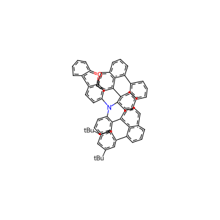 CC(C)(C)c1cc(-c2cccc3cccc(-c4ccccc4N(c4ccc5c(c4)oc4ccccc45)c4ccccc4-c4cccc5cccc(-c6ccccc6)c45)c23)cc(C(C)(C)C)c1